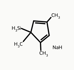 CC1=CC(C)([SiH3])C(C)=C1.[NaH]